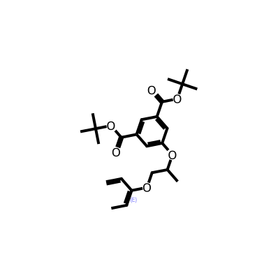 C=C/C(=C\C)OCC(C)Oc1cc(C(=O)OC(C)(C)C)cc(C(=O)OC(C)(C)C)c1